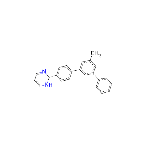 Cc1cc(-c2ccccc2)cc(-c2ccc(C3N=CC=CN3)cc2)c1